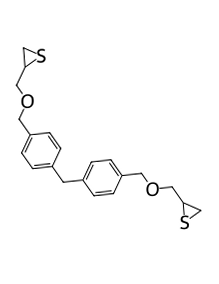 c1cc(Cc2ccc(COCC3CS3)cc2)ccc1COCC1CS1